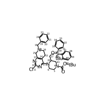 CC(C)(C)OC(=O)N1CCN(c2nc(Cl)nc3c2CCN(Cc2ccccc2)C3)C(CO[Si](c2ccccc2)(c2ccccc2)C(C)(C)C)C1